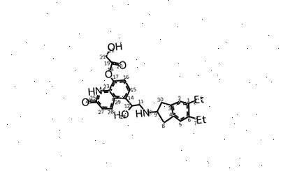 CCc1cc2c(cc1CC)CC(NCC(O)c1ccc(OC(=O)CO)c3[nH]c(=O)ccc13)C2